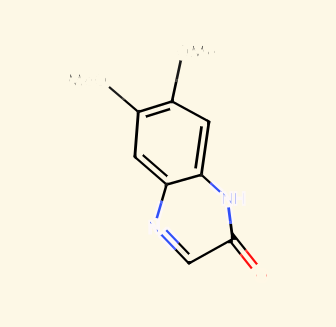 COc1cc2ncc(=O)[nH]c2cc1OC